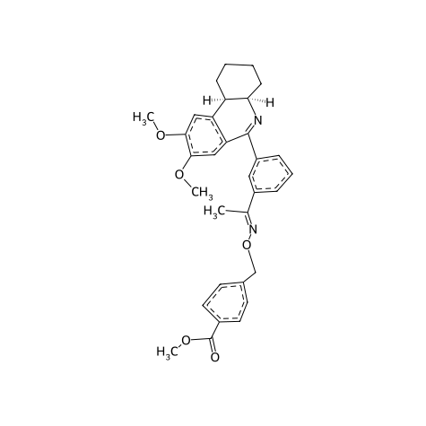 COC(=O)c1ccc(CON=C(C)c2cccc(C3=N[C@@H]4CCCC[C@@H]4c4cc(OC)c(OC)cc43)c2)cc1